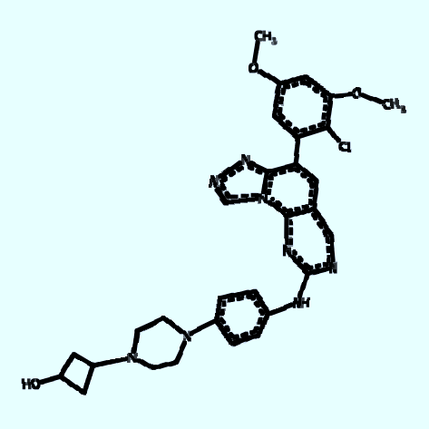 COc1cc(OC)c(Cl)c(-c2cc3cnc(Nc4ccc(N5CCN(C6CC(O)C6)CC5)cc4)nc3n3cnnc23)c1